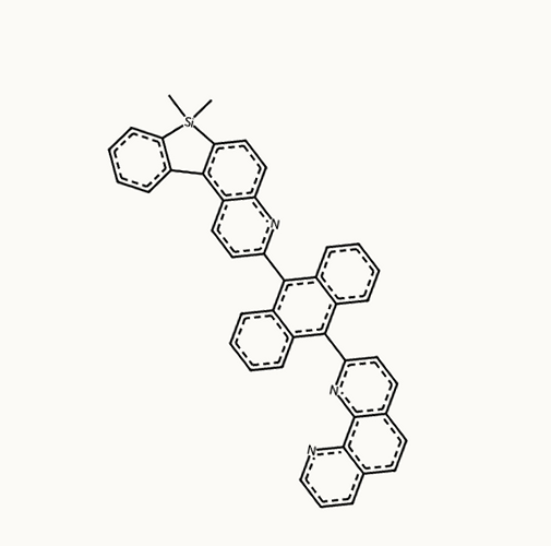 C[Si]1(C)c2ccccc2-c2c1ccc1nc(-c3c4ccccc4c(-c4ccc5ccc6cccnc6c5n4)c4ccccc34)ccc21